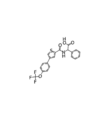 O=C(NC(C(=O)O)c1ccccc1)c1cc(-c2ccc(OC(F)(F)F)cc2)cs1